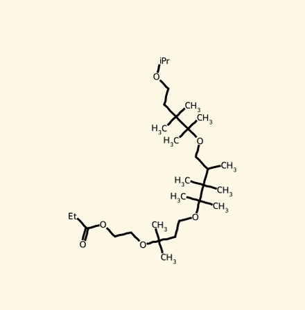 CCC(=O)OCCOC(C)(C)CCOC(C)(C)C(C)(C)C(C)COC(C)(C)C(C)(C)CCOC(C)C